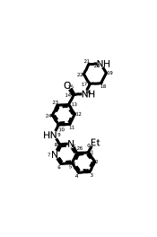 CCc1cccc2cnc(Nc3ccc(C(=O)NC4CCNCC4)cc3)nc12